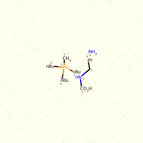 CC(C)CNC(=O)O.CCCC[PH](C)(CCCC)CCCC.N